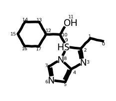 CCC1=Nc2cncn2[SH]1C(O)C1CCCCC1